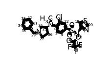 CN(c1ccc(S(=O)(=O)N(OC(=O)C(F)(F)F)c2cscn2)cc1Cl)[C@H]1CCN(Cc2ccccc2)C1